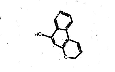 Oc1cc2c(c3ccccc13)C=CCO2